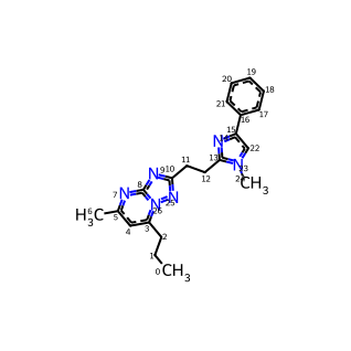 CCCc1cc(C)nc2nc(CCc3nc(-c4ccccc4)cn3C)nn12